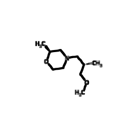 COC[C@@H](C)CN1CCO[C@@H](C)C1